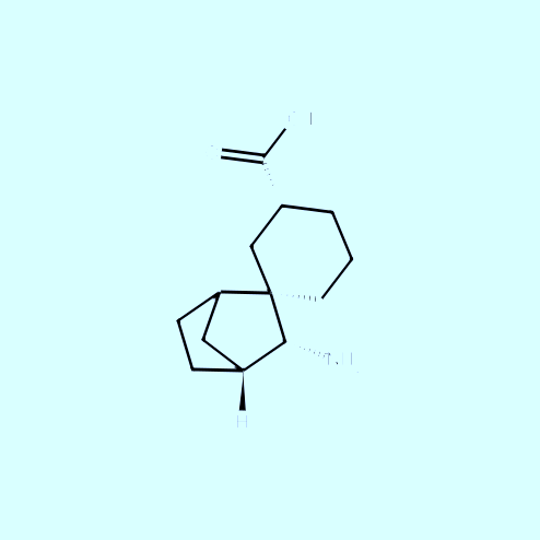 CC(=O)[C@@H]1CCC[C@@]2(C1)C1CC[C@H](C1)[C@H]2N